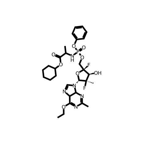 CCOC1=NC(C)=NC2C1N=CN2[C@@H]1O[C@](F)(COP(=O)(NC(C)C(=O)OC2CCCCC2)Oc2ccccc2)[C@@H](O)[C@@]1(C)F